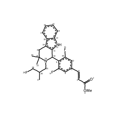 COC(=O)C=Cc1cc(F)c(C2c3[nH]c4ccccc4c3CC(C)(C)N2CC(C)CF)c(F)c1